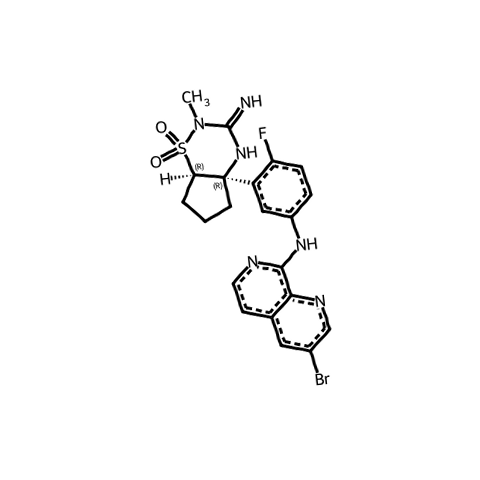 CN1C(=N)N[C@@]2(c3cc(Nc4nccc5cc(Br)cnc45)ccc3F)CCC[C@H]2S1(=O)=O